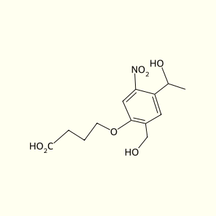 CC(O)c1cc(CO)c(OCCCC(=O)O)cc1[N+](=O)[O-]